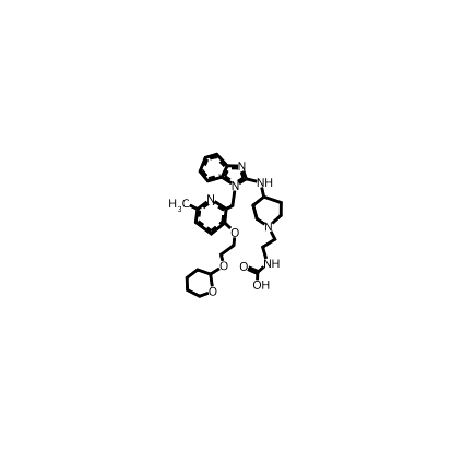 Cc1ccc(OCCOC2CCCCO2)c(Cn2c(NC3CCN(CCNC(=O)O)CC3)nc3ccccc32)n1